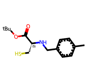 Cc1ccc(CN[C@H](CS)C(=O)OC(C)(C)C)cc1